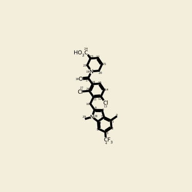 Cc1cc(C(F)(F)F)cc2c1cc(Cc1c(Cl)ccc(C(=O)N3CC=CC(C(=O)O)C3)c1Cl)n2C